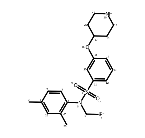 Cc1ccc(N(CC(C)C)S(=O)(=O)c2cccc(OC3CCNCC3)c2)c(C)c1